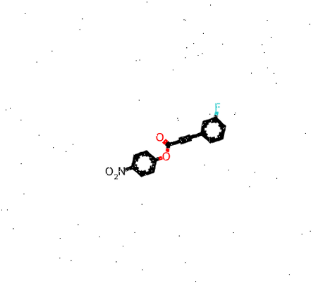 O=C(C#Cc1cccc(F)c1)Oc1ccc([N+](=O)[O-])cc1